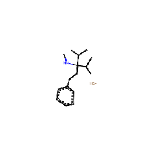 Br.CNC(CCc1ccccc1)(C(C)C)C(C)C